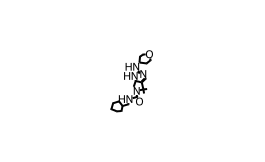 CC1(C)C2=CN=C(NC3CCOCC3)NC2CN1C(=O)NCC1CCCCC1